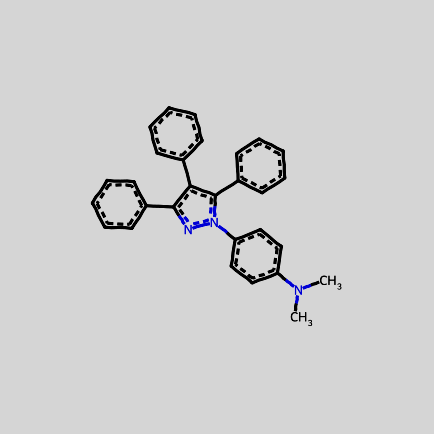 CN(C)c1ccc(-n2nc(-c3ccccc3)c(-c3ccccc3)c2-c2ccccc2)cc1